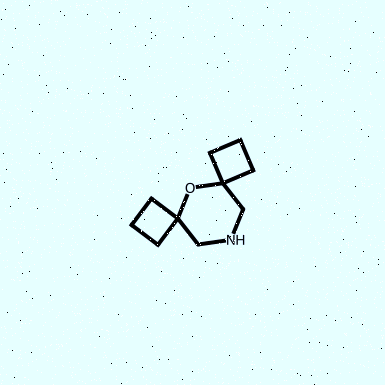 C1CC2(C1)CNCC1(CCC1)O2